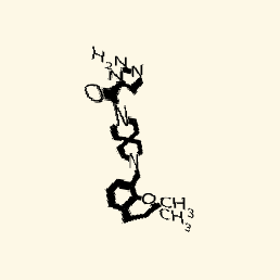 CC1(C)CCc2cccc(CN3CCC4(CC3)CCN(C(=O)c3ccnc(N)n3)CC4)c2O1